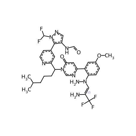 COc1ccc(N(N)/C=C(\N)C(F)(F)F)c(-c2cc(=O)n(C(CCCC(C)C)c3cc(-c4c(NC=O)cnn4C(F)F)ccn3)cn2)c1